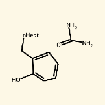 CCCCCCCCc1ccccc1O.NC(N)=O